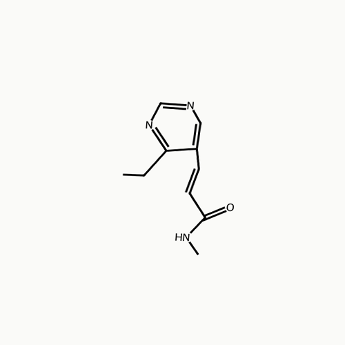 CCc1ncncc1/C=C/C(=O)NC